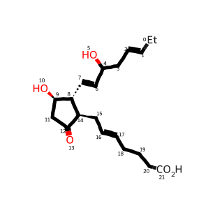 CCC=CCC(O)C=C[C@H]1[C@H](O)CC(=O)[C@@H]1CC=CCCCC(=O)O